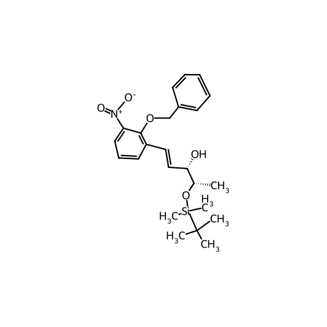 C[C@H](O[Si](C)(C)C(C)(C)C)[C@@H](O)/C=C/c1cccc([N+](=O)[O-])c1OCc1ccccc1